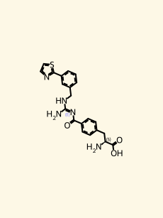 N/C(=N\C(=O)c1ccc(C[C@H](N)C(=O)O)cc1)NCc1cccc(-c2nccs2)c1